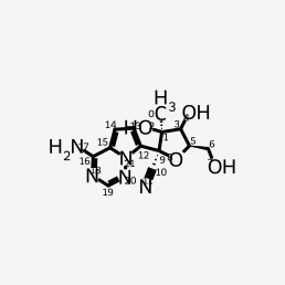 C[C@]1(O)C(O)[C@@H](CO)O[C@@]1(C#N)c1ccc2c(N)ncnn12